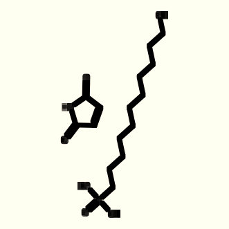 O=C1C=CC(=O)N1.O=P(O)(O)CCCCCCCCCCCO